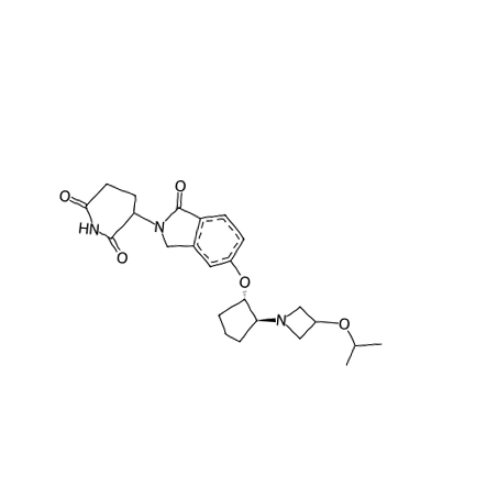 CC(C)OC1CN([C@H]2CCC[C@@H]2Oc2ccc3c(c2)CN(C2CCC(=O)NC2=O)C3=O)C1